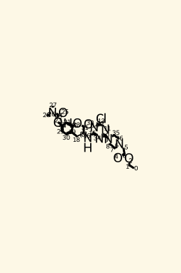 CCOC(=O)CN1CCN(c2nc(Cl)nc(N[C@@H](Cc3ccc(OC(=O)N(C)C)cc3)C(=O)O)n2)CC1